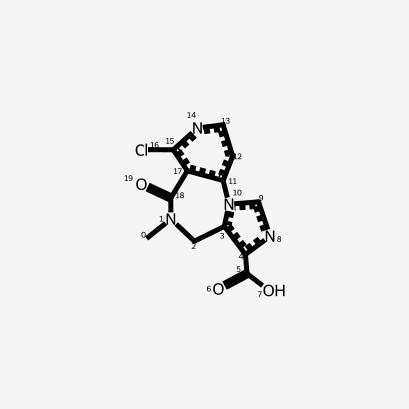 CN1Cc2c(C(=O)O)ncn2-c2ccnc(Cl)c2C1=O